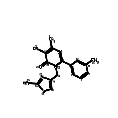 [C-]#[N+]c1c(C(F)(F)F)cc(-c2cccc(C)c2)n(Cc2csc(CCC)n2)c1=O